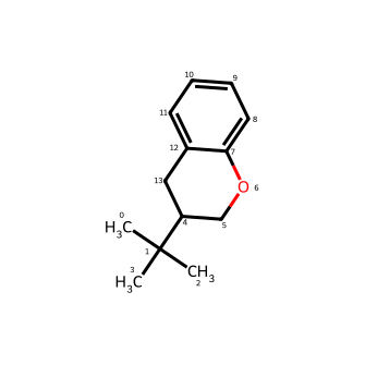 CC(C)(C)C1COc2ccccc2C1